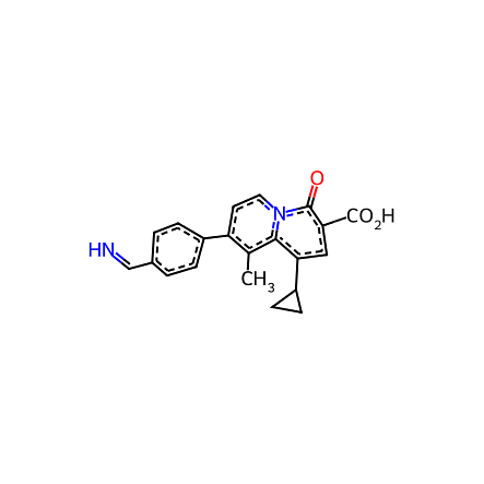 Cc1c(-c2ccc(C=N)cc2)ccn2c(=O)c(C(=O)O)cc(C3CC3)c12